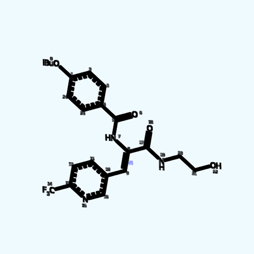 CC(C)COc1ccc(C(=O)N/C(=C\c2ccc(C(F)(F)F)nc2)C(=O)NCCO)cc1